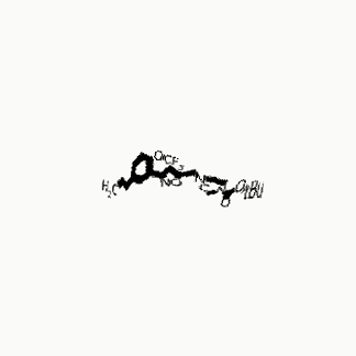 C=CCc1ccc(OC(F)(F)F)c(-c2cc(CN3CCN(C(=O)OC(C)(C)C)CC3)on2)c1